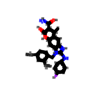 COc1ccc(Cn2c(Nc3ccc(I)cc3)nc3cc4c(C)c(C(N)=O)c(=O)oc4cc32)c(OC)c1